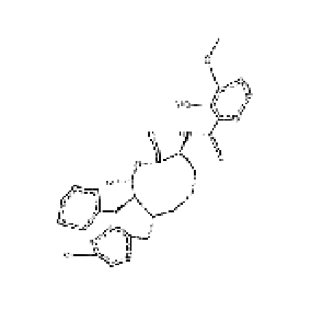 COc1ccnc(C(=O)N[C@H]2CCC[C@H](Cc3ccc(Cl)cc3)[C@@H](Cc3ccccc3)[C@H](C)OC2=O)c1O